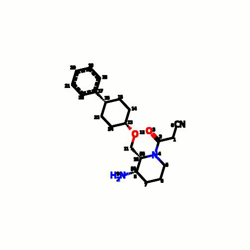 N#CCC(=O)N1CCC[C@H](N)[C@@H]1CO[C@H]1CC[C@@H](c2ccccc2)CC1